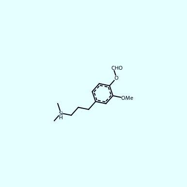 COc1cc(CCC[SiH](C)C)ccc1OC=O